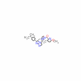 COc1ccc(C)c(C(=O)N2CC3CCC2CN3Cc2c(-c3ccc(C(C)C)cc3)nc3ncccn23)n1